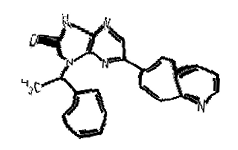 CC(c1ccccc1)n1c(=O)[nH]c2ncc(-c3ccc4ncccc4c3)nc21